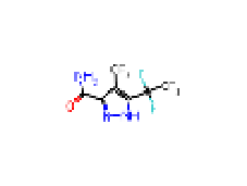 NC(=O)c1n[nH]c(C(F)(F)C(F)(F)F)c1C(F)(F)F